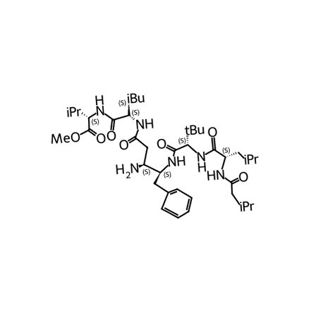 CC[C@H](C)[C@H](NC(=O)C[C@H](N)[C@H](Cc1ccccc1)NC(=O)[C@@H](NC(=O)[C@H](CC(C)C)NC(=O)CC(C)C)C(C)(C)C)C(=O)N[C@H](C(=O)OC)C(C)C